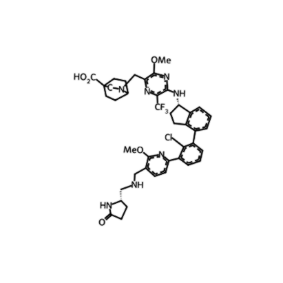 COc1nc(-c2cccc(-c3cccc4c3CC[C@@H]4Nc3nc(OC)c(CN4CC5(C(=O)O)CCC4CC5)nc3C(F)(F)F)c2Cl)ccc1CNC[C@@H]1CCC(=O)N1